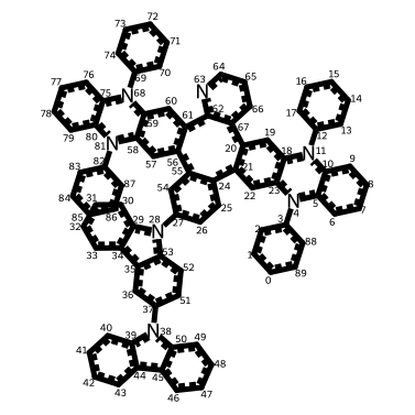 c1ccc(-n2c3ccccc3n(-c3ccccc3)c3cc4c(cc32)c2ccc(-n3c5ccccc5c5cc(-n6c7ccccc7c7ccccc76)ccc53)cc2c2cc3c(cc2c2ncccc42)n(-c2ccccc2)c2ccccc2n3-c2ccccc2)cc1